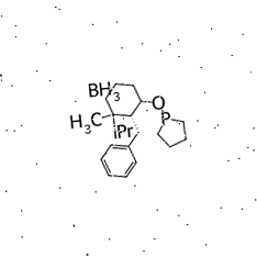 B.CC(C)C1(C)CCCC(OP2CCCC2)[C@@H]1Cc1ccccc1